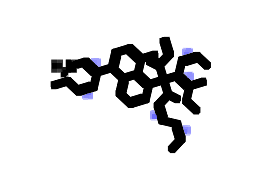 C=CC(=C)C(C(/C=C\C)=C(/C)CC)(c1cccc2c(C(/C=C\CC)=C/N)ccc(C)c12)C(C)/C=C\C=C/C